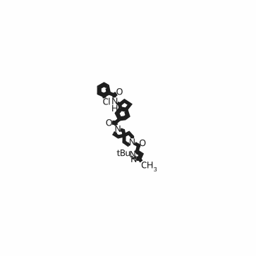 Cc1cc(C(=O)N2CCC3(CCN(C(=O)c4ccc5c(c4)C(NC(=O)c4ccccc4Cl)CC5)C3)CC2)n(C(C)(C)C)n1